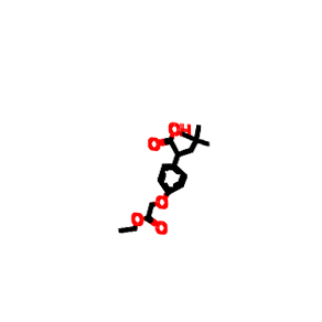 CCOC(=O)COc1ccc(C(CC(C)(C)C)C(=O)O)cc1